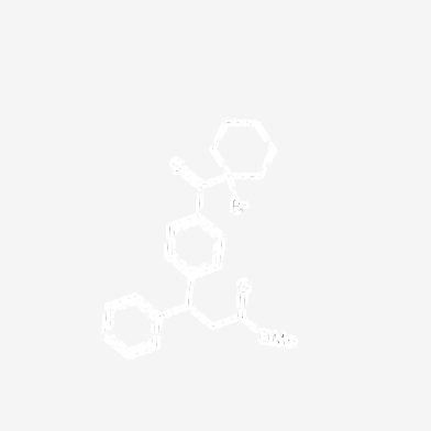 COC(=O)CC(c1ccccc1)c1ccc(C(=O)C2(Br)CCCCC2)cc1